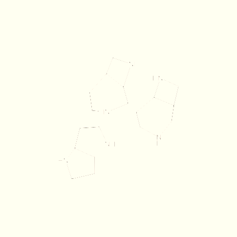 C1CC2CNC2CN1.C1CC2NCC2CN1.C1CC2NCCC2N1